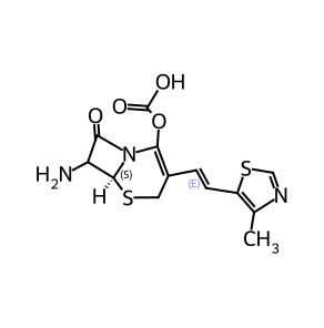 Cc1ncsc1/C=C/C1=C(OC(=O)O)N2C(=O)C(N)[C@@H]2SC1